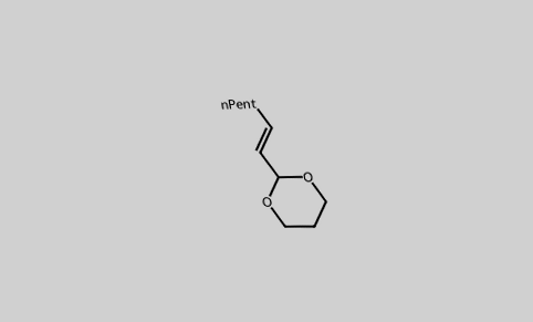 CCCCCC=CC1OCCCO1